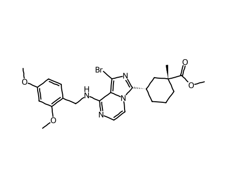 COC(=O)[C@]1(C)CCC[C@H](c2nc(Br)c3c(NCc4ccc(OC)cc4OC)nccn23)C1